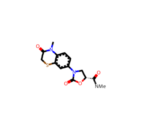 CNC(=O)[C@H]1CN(c2ccc3c(c2)SCC(=O)N3C)C(=O)O1